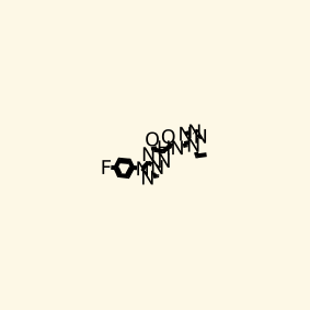 CCn1nnnc1NC(=O)c1nn2cnn(-c3ccc(F)cc3)c2nc1=O